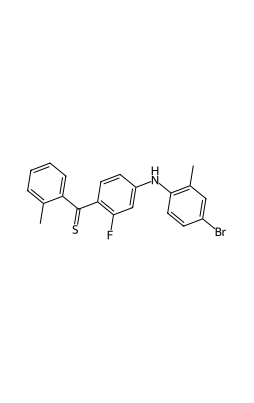 Cc1cc(Br)ccc1Nc1ccc(C(=S)c2ccccc2C)c(F)c1